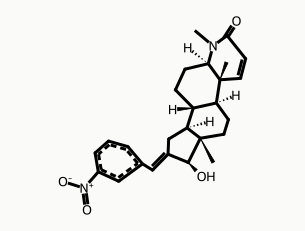 CN1C(=O)C=C[C@]2(C)[C@H]3CC[C@]4(C)[C@@H](O)/C(=C/c5cccc([N+](=O)[O-])c5)C[C@H]4[C@@H]3CC[C@@H]12